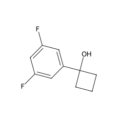 OC1(c2cc(F)cc(F)c2)CCC1